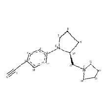 C#Cc1ccc(N2CCC[C@H]2CN2CCCC2)cc1